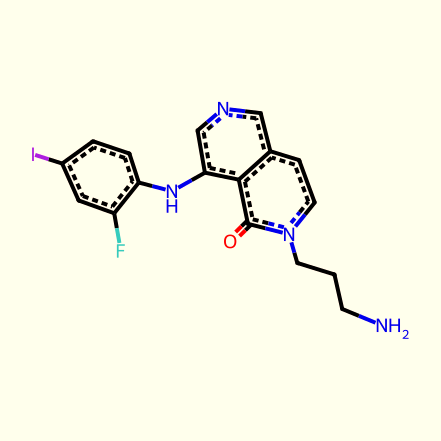 NCCCn1ccc2cncc(Nc3ccc(I)cc3F)c2c1=O